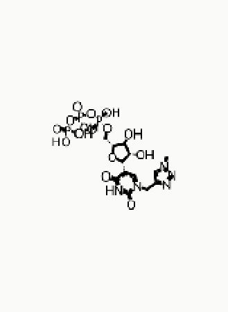 Cn1cc(Cn2cc([C@@H]3O[C@H](COP(=O)(O)OP(=O)(O)OP(=O)(O)O)C(O)[C@@H]3O)c(=O)[nH]c2=O)nn1